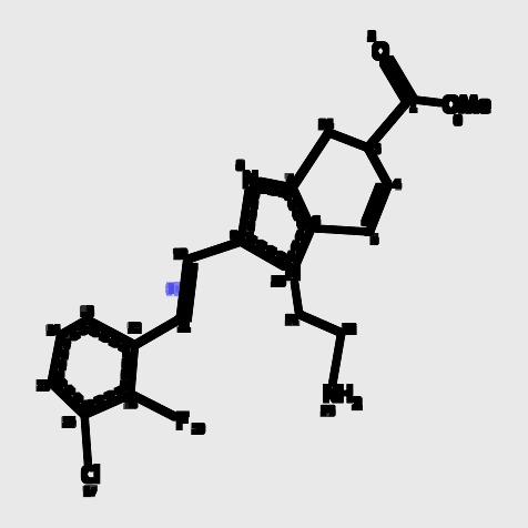 COC(=O)C1C=Cc2c(nc(/C=C/c3cccc(Cl)c3F)n2CCN)C1